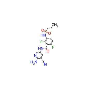 CCCS(=O)(=O)Nc1ccc(F)c(C(=O)Nc2cnc(N)c(C#N)c2)c1F